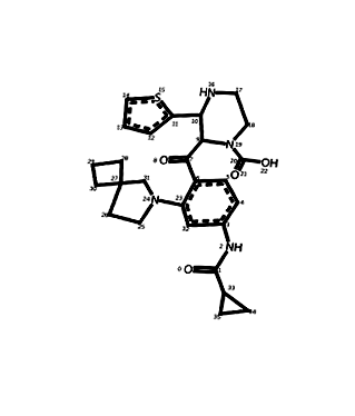 O=C(Nc1ccc(C(=O)C2C(c3cccs3)NCCN2C(=O)O)c(N2CCC3(CCC3)C2)c1)C1CC1